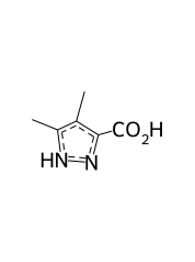 Cc1[nH]nc(C(=O)O)c1C